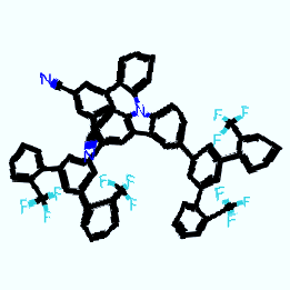 N#Cc1cc(C#N)cc(-c2ccccc2-n2c3ccc(-c4cc(-c5ccccc5C(F)(F)F)cc(-c5ccccc5C(F)(F)F)c4)cc3c3cc(-c4cc(-c5ccccc5C(F)(F)F)cc(-c5ccccc5C(F)(F)F)c4)ccc32)c1